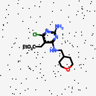 CCOC(=O)Cc1c(Cl)nc(N)nc1NCC1CCOCC1